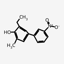 CCc1cc(-c2cccc([N+](=O)[O-])c2)cc(C)c1O